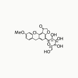 COc1ccc(Cc2cc([C@@H]3O[C@H](CO)[C@@H](O)[C@H](O)[C@@H]3O)c3c(c2Cl)C(=O)CO3)cc1